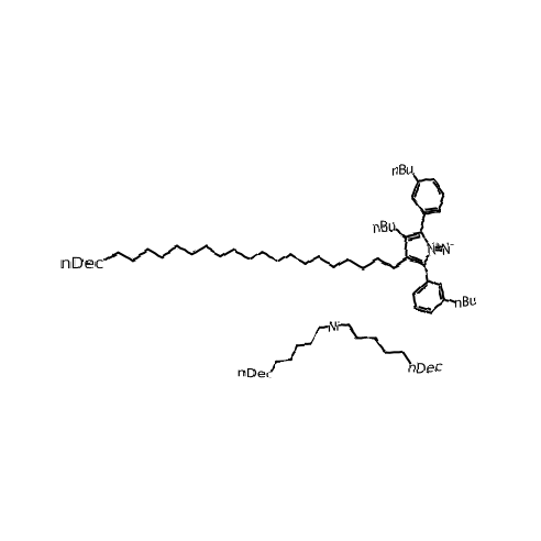 CCCCCCCCCCCCCCCCCCCCCCCCCCCCCCC1=C(c2cccc(CCCC)c2)[N+](=[N-])C(c2cccc(CCCC)c2)=C1CCCC.CCCCCCCCCCCCCC[CH2][Ni][CH2]CCCCCCCCCCCCCC